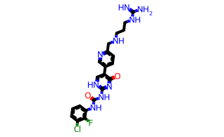 N=C(N)NCCCNCc1ccc(-c2c[nH]c(NC(=O)Nc3cccc(Cl)c3F)nc2=O)cn1